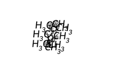 Cc1cc(-c2c(C)cc([Si](C)(C)C)cc2C)cc(C)c1C